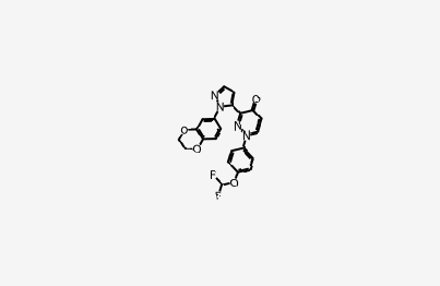 O=c1ccn(-c2ccc(OC(F)F)cc2)nc1-c1ccnn1-c1ccc2c(c1)OCCO2